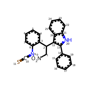 O=[N+]([O-])CC(c1ccccc1N=C=S)c1c(-c2ccccc2)[nH]c2ccccc12